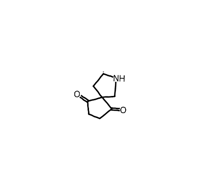 O=C1CCC(=O)C12C[CH]NC2